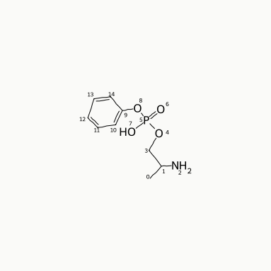 CC(N)COP(=O)(O)Oc1ccccc1